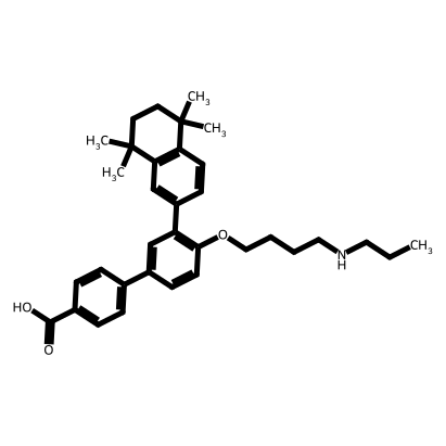 CCCNCCCCOc1ccc(-c2ccc(C(=O)O)cc2)cc1-c1ccc2c(c1)C(C)(C)CCC2(C)C